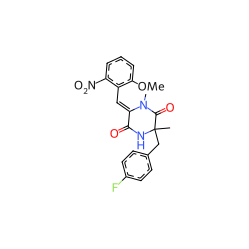 COc1cccc([N+](=O)[O-])c1C=C1C(=O)NC(C)(Cc2ccc(F)cc2)C(=O)N1C